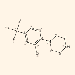 FC(F)(F)c1cnc(N2CCNCC2)c(Cl)n1